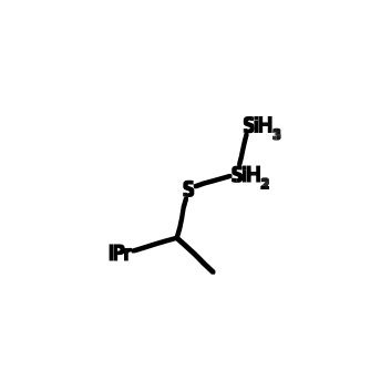 CC(C)C(C)S[SiH2][SiH3]